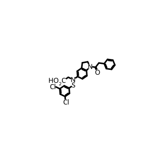 O=C(O)CN(Sc1cc(Cl)cc(Cl)c1)c1ccc2c(c1)CCN2C(=O)Cc1ccccc1